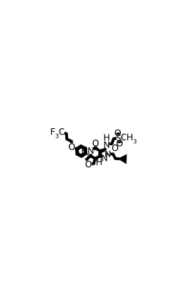 CS(=O)(=O)CC(=O)Nc1c2c(nn1CCC1CC1)[C@H]1COC[C@@]1(c1ccc(OCCCC(F)(F)F)cc1)NC2=O